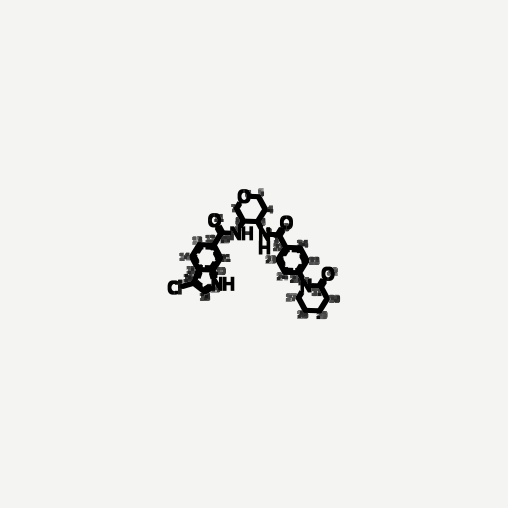 O=C(NC1CCOCC1NC(=O)c1ccc2c(Cl)c[nH]c2c1)c1ccc(N2CCCCC2=O)cc1